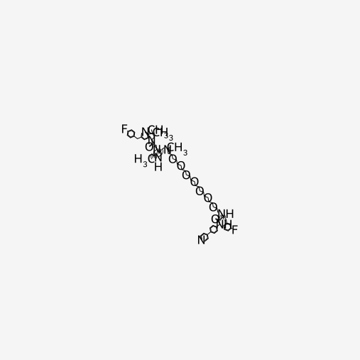 C[C@@H]1CN(CC(=O)N2CC(C)(C)c3ncc(Cc4ccc(F)cc4)cc32)[C@@H](CN(C)CCOCCOCCOCCOCCOCCOCCOCCN[C@H](Cc2cccc(F)c2)C(=O)Nc2ccc(-c3ccncc3)cc2)CN1